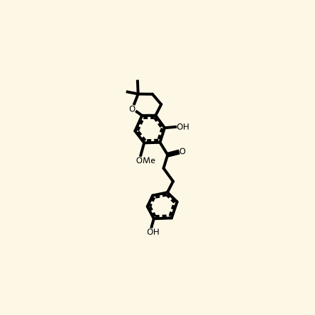 COc1cc2c(c(O)c1C(=O)CCc1ccc(O)cc1)CCC(C)(C)O2